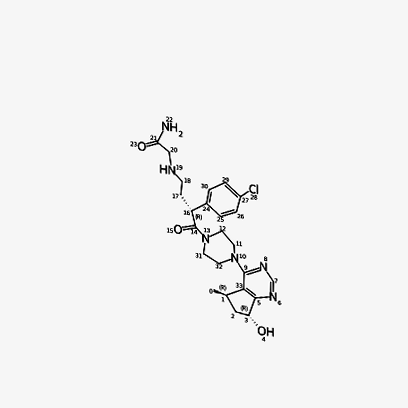 C[C@@H]1C[C@@H](O)c2ncnc(N3CCN(C(=O)[C@H](CCNCC(N)=O)c4ccc(Cl)cc4)CC3)c21